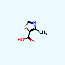 Cc1n[c]sc1C(=O)O